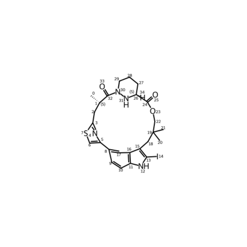 C[C@H]1Cc2nc(cs2)-c2ccc3[nH]c(I)c(c3c2)CC(C)(C)COC(=O)[C@@H]2CCCN(N2)C1=O